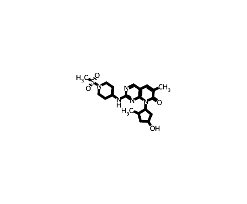 Cc1cc2cnc(NC3CCN(S(C)(=O)=O)CC3)nc2n(C2CC(O)CC2C)c1=O